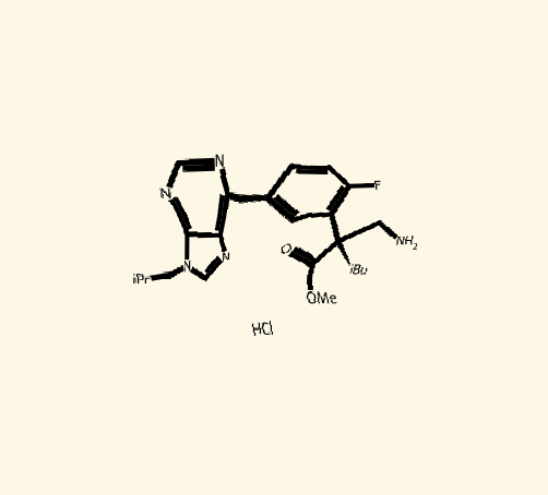 CC[C@H](C)C(CN)(C(=O)OC)c1cc(-c2ncnc3c2ncn3C(C)C)ccc1F.Cl